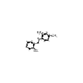 CCc1ccccc1CCc1ccc(C)cc1C